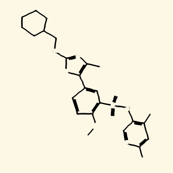 COc1ccc(-c2sc(NCC3CCCCC3)nc2C)cc1S(=O)(=O)Nc1cnc(F)cc1C